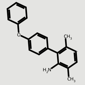 Cc1[c]cc(C)c(N)c1-c1ccc(Oc2ccccc2)cc1